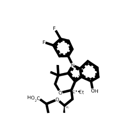 CC[C@]1(C[C@@H](C)OC(C)C(=O)O)OCC(C)(C)c2c1c1c(O)cccc1n2-c1ccc(F)c(F)c1